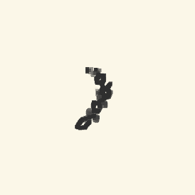 Cc1ccc(C(=O)Nc2ccc(S(=O)(=O)N3CCCCC3)cc2)cc1-c1ccc(N)cc1